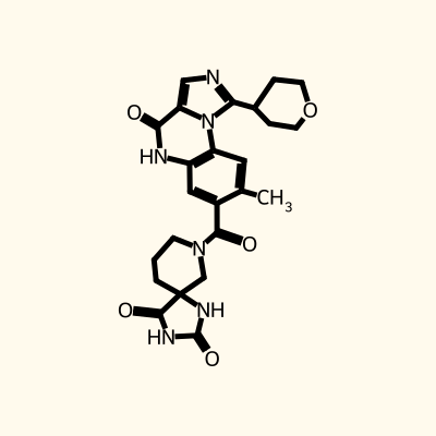 Cc1cc2c(cc1C(=O)N1CCCC3(C1)NC(=O)NC3=O)[nH]c(=O)c1cnc(C3CCOCC3)n12